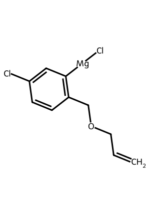 C=CCOCc1ccc(Cl)c[c]1[Mg][Cl]